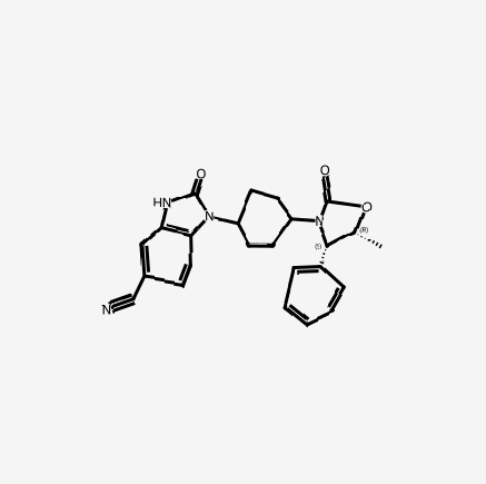 C[C@H]1OC(=O)N(C2CCC(n3c(=O)[nH]c4cc(C#N)ccc43)CC2)[C@H]1c1ccccc1